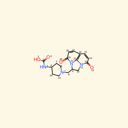 O=C(O)NC1CCN(CC2Cn3c(=O)ccc4ccc(=O)n2c43)CC1